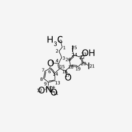 CCCCc1oc2ccc([N+](=O)[O-])cc2c1C(=O)c1cc(I)c(O)c(I)c1